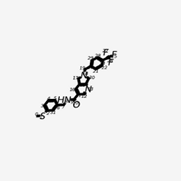 CSc1cccc(CNC(=O)c2cnc3c(c2)CN(Cc2ccc(C(F)(F)F)cc2)C3)c1